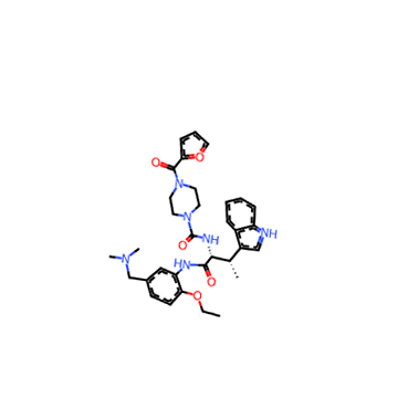 CCOc1ccc(CN(C)C)cc1NC(=O)[C@H](NC(=O)N1CCN(C(=O)c2ccco2)CC1)[C@@H](C)c1c[nH]c2ccccc12